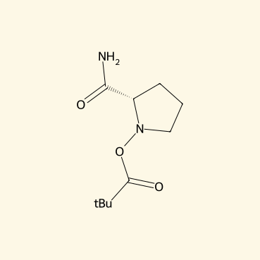 CC(C)(C)C(=O)ON1CCC[C@H]1C(N)=O